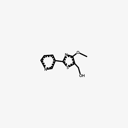 COc1nc(-c2cccnc2)sc1CO